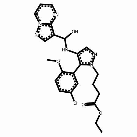 CCOC(=O)CCCn1ncc(NC(O)c2cnn3cccnc23)c1-c1cc(Cl)ccc1OC